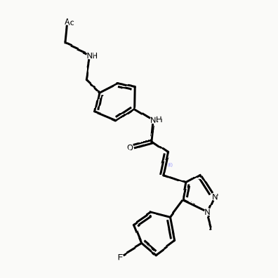 CC(=O)CNCc1ccc(NC(=O)/C=C/c2cnn(C)c2-c2ccc(F)cc2)cc1